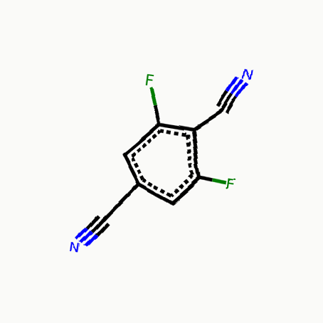 N#Cc1cc(F)c(C#N)c(F)c1